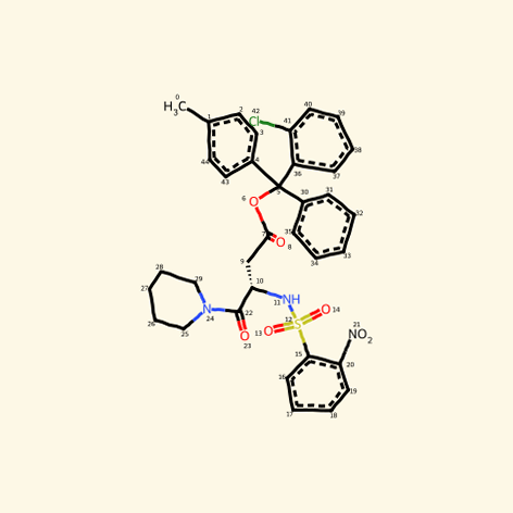 Cc1ccc(C(OC(=O)C[C@H](NS(=O)(=O)c2ccccc2[N+](=O)[O-])C(=O)N2CCCCC2)(c2ccccc2)c2ccccc2Cl)cc1